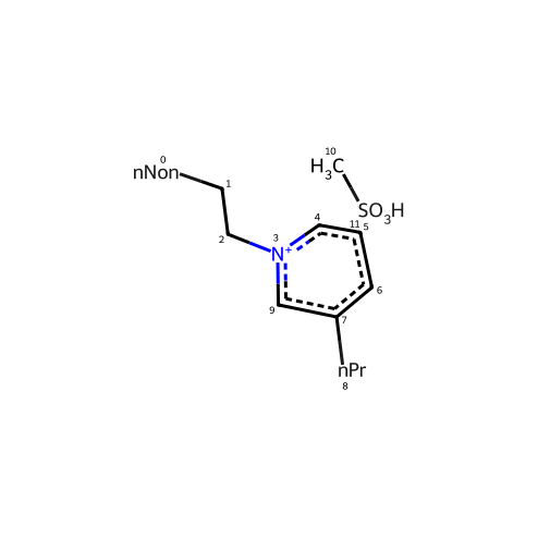 CCCCCCCCCCC[n+]1cccc(CCC)c1.CS(=O)(=O)O